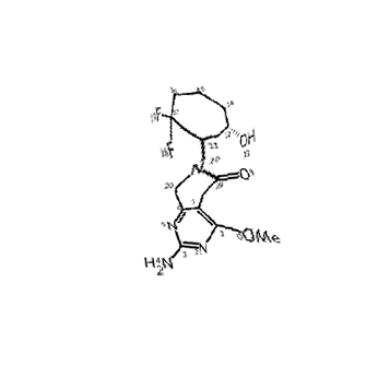 COc1nc(N)nc2c1C(=O)N(C1[C@@H](O)CCCC1(F)F)C2